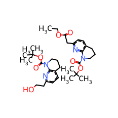 CC(C)(C)OC(=O)N1CCCc2ccc(CCO)nc21.CCOC(=O)Cc1ccc2c(n1)N(C(=O)OC(C)(C)C)CCC2